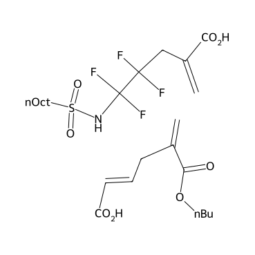 C=C(CC(F)(F)C(F)(F)NS(=O)(=O)CCCCCCCC)C(=O)O.C=C(CC=CC(=O)O)C(=O)OCCCC